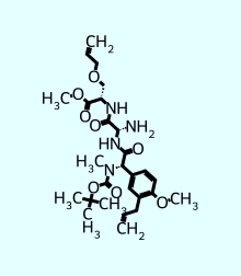 C=CCOC[C@H](NC(=O)[C@H](N)NC(=O)[C@H](c1ccc(OC)c(CC=C)c1)N(C)C(=O)OC(C)(C)C)C(=O)OC